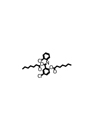 CCCCCCC(=O)OC(=Nc1ccccc1Cl)c1cc(Cl)ccc1OC(=O)CCCCCC